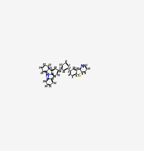 c1cc(-c2ccc3sc4cccnc4c3c2)cc(-c2cc3c4ccccc4n4c5ccccc5c(c2)c34)c1